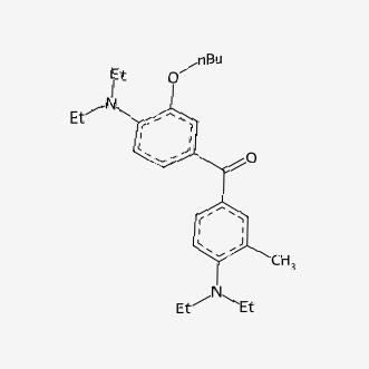 CCCCOc1cc(C(=O)c2ccc(N(CC)CC)c(C)c2)ccc1N(CC)CC